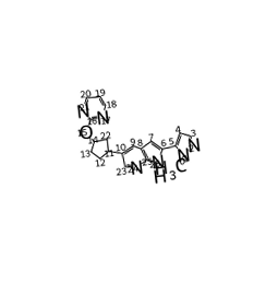 Cn1nccc1-c1cc2cc(C3CCC(Oc4ncccn4)C3)cnc2[nH]1